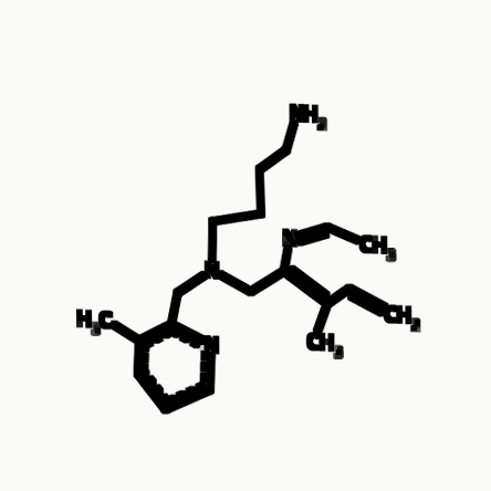 C=C/C(C)=C(CN(CCCCN)Cc1ncccc1C)\N=C/C